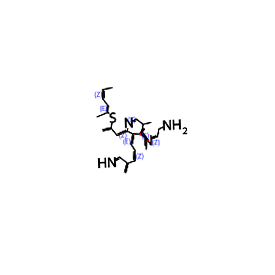 C=C(C=N)\C=C/C=C(C(=C)/N=C\CN)/C(=C/C(=C)S/C(C)=C/C=C\C)/N=C\C(C)/C=C/C